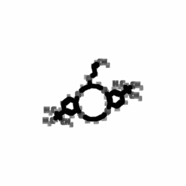 C=CCOC1COc2ccc(C(C)(C)C)cc2OCCCOc2ccc(C(C)(C)C)cc2OC1